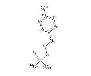 OC(O)(I)CCOc1ccc(Cl)cc1